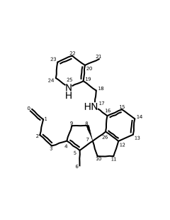 C=C/C=C\C1=C(C)[C@@]2(CC1)CCc1cccc(NCC3=C(C)C=CCN3)c12